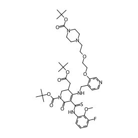 COc1c(F)cccc1NC(=S)C1=C(NCc2ccncc2OCCOCCN2CCN(C(=O)OC(C)(C)C)CC2)C(CC(=O)OC(C)(C)C)CN(C(=O)OC(C)(C)C)C1=O